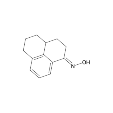 ON=C1CCC2CCCc3cccc1c32